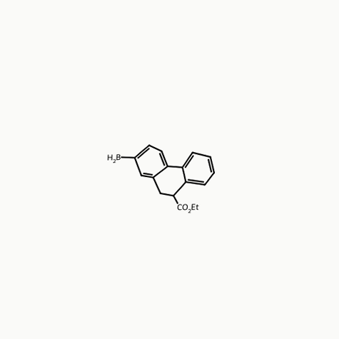 Bc1ccc2c(c1)CC(C(=O)OCC)c1ccccc1-2